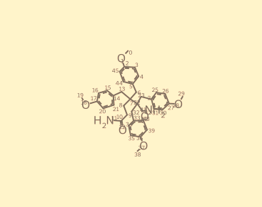 COc1ccc(CC(CCC(N)=O)(Cc2ccc(OC)cc2)C(Cc2ccc(OC)cc2)(Cc2ccc(OC)cc2)C(N)=O)cc1